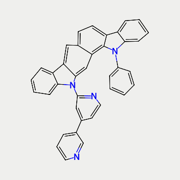 c1ccc(-n2c3ccccc3c3ccc4cc5c6ccccc6n(-c6cc(-c7cccnc7)ccn6)c5cc4c32)cc1